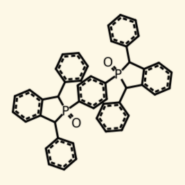 O=P1(c2ccc(P3(=O)C(c4ccccc4)c4ccccc4C3c3ccccc3)cc2)C(c2ccccc2)c2ccccc2C1c1ccccc1